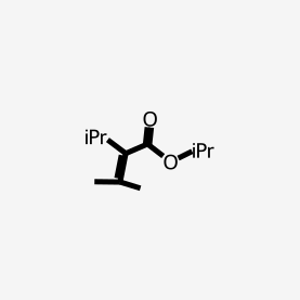 CC(C)=C(C(=O)OC(C)C)C(C)C